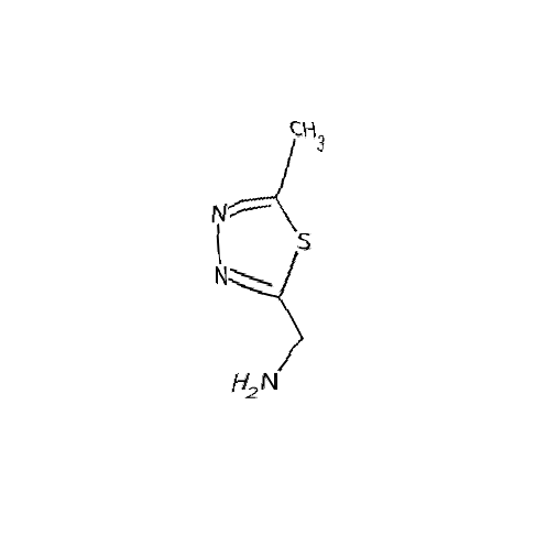 Cc1nnc(CN)s1